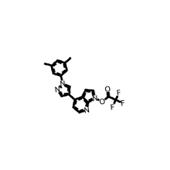 Cc1cc(C)cc(-n2cc(-c3ccnc4c3ccn4OC(=O)C(F)(F)F)cn2)c1